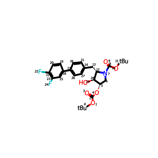 CC(C)(C)OC(=O)O[C@H]1CN(C(=O)OC(C)(C)C)[C@@H](Cc2ccc(-c3ccc(F)c(F)c3)cc2)[C@@H]1O